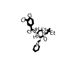 CCC(C)(CC)CN1CC[C@@H](CNC(=O)c2ccc(Cl)c(Cl)c2)N[C@@H](CCN2CCCCC2)C1=O